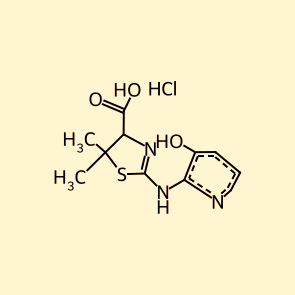 CC1(C)SC(Nc2ncccc2O)=NC1C(=O)O.Cl